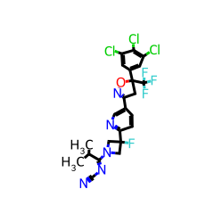 CC(C)/C(=N\C#N)N1CC(F)(c2ccc(C3=NOC(c4cc(Cl)c(Cl)c(Cl)c4)(C(F)(F)F)C3)cn2)C1